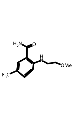 COCCNc1ccc(C(F)(F)F)cc1C(N)=O